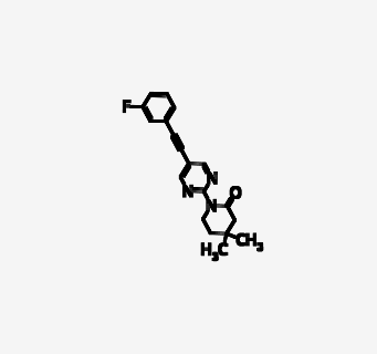 CC1(C)CCN(c2ncc(C#Cc3cccc(F)c3)cn2)C(=O)C1